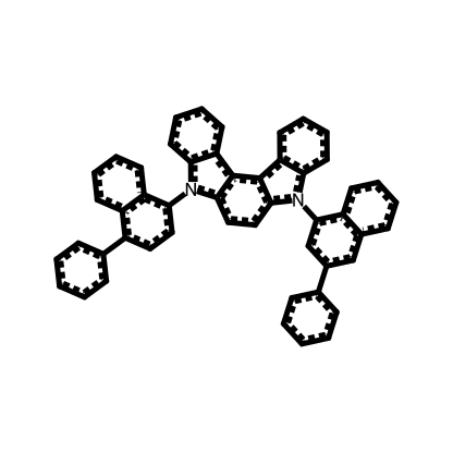 c1ccc(-c2cc(-n3c4ccccc4c4c5c6ccccc6n(-c6ccc(-c7ccccc7)c7ccccc67)c5ccc43)c3ccccc3c2)cc1